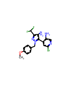 COc1ccc(Cn2nc(C(F)F)c(N)c2-c2cc(Br)ncc2N)cc1